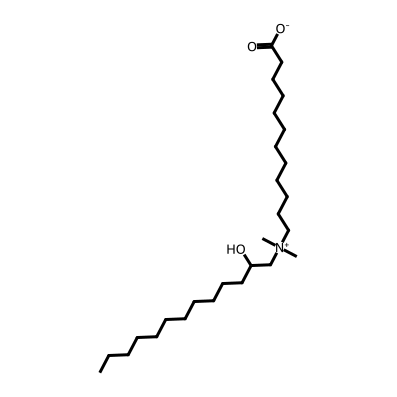 CCCCCCCCCCCC(O)C[N+](C)(C)CCCCCCCCCCCC(=O)[O-]